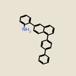 Nc1ccccc1-c1ccc2c(-c3ccc(-c4ccccc4)cc3)cccc2c1